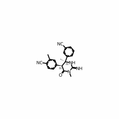 Cc1cc([C@@H]2C(=O)N(C)C(=N)N[C@]2(C)c2cccc(C#N)c2)ccc1C#N